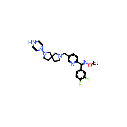 CCO/N=C(\c1ccc(F)c(F)c1)c1ccc(CN2CCC3(CCN(N4C=CNC=C4)C3)C2)cn1